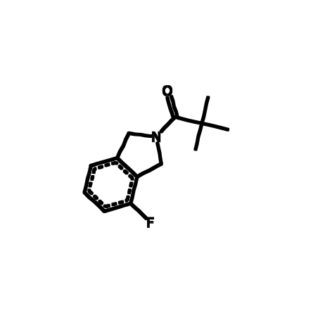 CC(C)(C)C(=O)N1Cc2cccc(F)c2C1